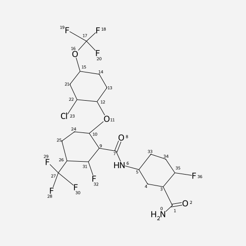 NC(=O)C1CC(NC(=O)C2C(OC3CCC(OC(F)(F)F)CC3Cl)CCC(C(F)(F)F)C2F)CCC1F